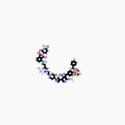 C[C@H](Oc1cc(-c2nn(C)c3c(-c4cnn(C5CCN(CCN(N)/C=C(\N)CCNc6cccc7c6C(=O)N(C6CCC(=O)NC6=O)C7=O)CC5)c4)cnc(N)c23)ccc1NS(=O)(=O)C(F)F)c1ccc(F)cc1